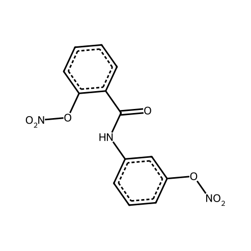 O=C(Nc1cccc(O[N+](=O)[O-])c1)c1ccccc1O[N+](=O)[O-]